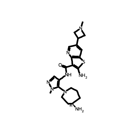 CN1CC(c2cnc3c(C(=O)Nc4cnn(C)c4N4CCC[C@@H](N)CC4)c(N)sc3c2)C1